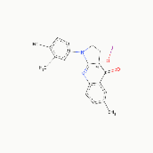 Cc1ccc2c(c1)C(=O)[C@]1(OI)CCN(c3ccc(C#N)c(C)c3)C1=N2